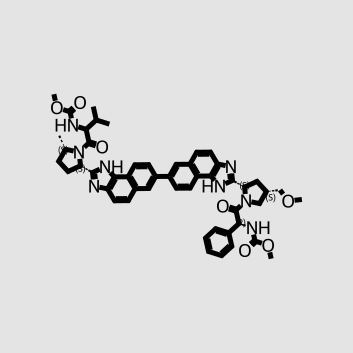 COC[C@H]1C[C@@H](c2nc3ccc4cc(-c5ccc6c(ccc7nc([C@@H]8CC[C@H](C)N8C(=O)C(NC(=O)OC)C(C)C)[nH]c76)c5)ccc4c3[nH]2)N(C(=O)[C@H](NC(=O)OC)c2ccccc2)C1